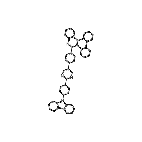 c1ccc2c(c1)nc(-c1ccc(-c3cnc(-c4ccc(-n5c6ccccc6c6ccccc65)cc4)nc3)cc1)c1c3ccccc3c3ccccc3c21